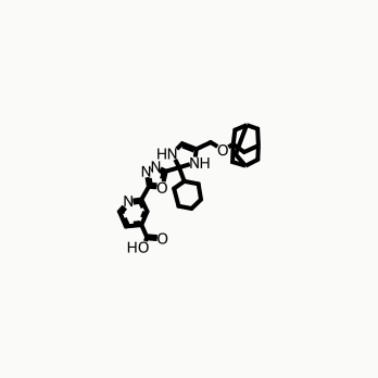 O=C(O)c1ccnc(-c2nnc(C3(C4CCCCC4)NC=C(COC45CC6CC(CC(C6)C4)C5)N3)o2)c1